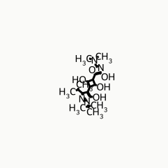 CC(C)c1nn(C(C)(C)C)c(O)c1C1C(O)C(c2oc(N(C)C)nc2O)C1O